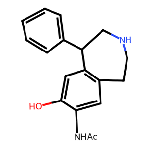 CC(=O)Nc1cc2c(cc1O)C(c1ccccc1)CNCC2